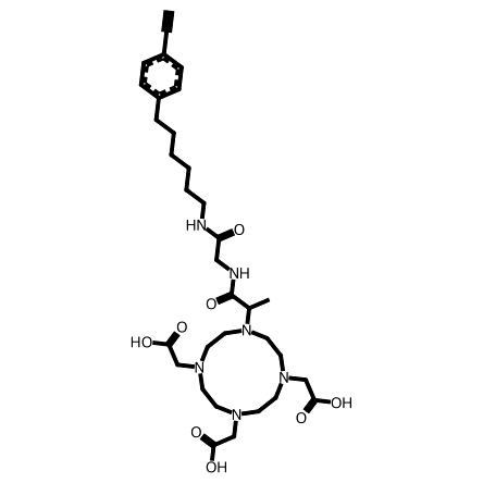 C#Cc1ccc(CCCCCCNC(=O)CNC(=O)C(C)N2CCN(CC(=O)O)CCN(CC(=O)O)CCN(CC(=O)O)CC2)cc1